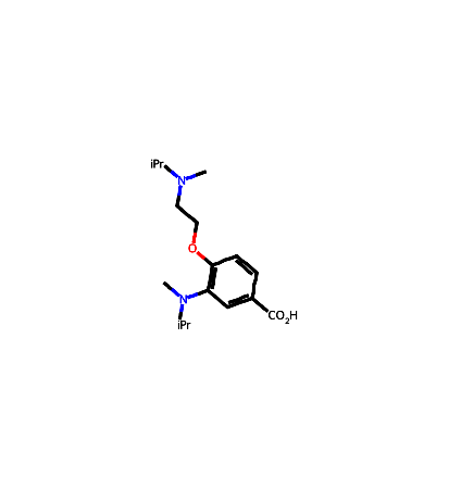 CC(C)N(C)CCOc1ccc(C(=O)O)cc1N(C)C(C)C